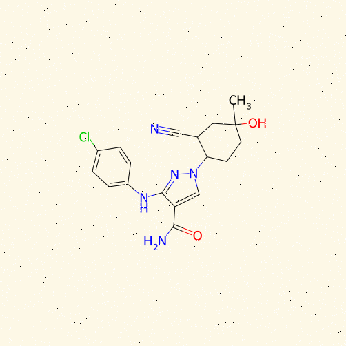 CC1(O)CCC(n2cc(C(N)=O)c(Nc3ccc(Cl)cc3)n2)C(C#N)C1